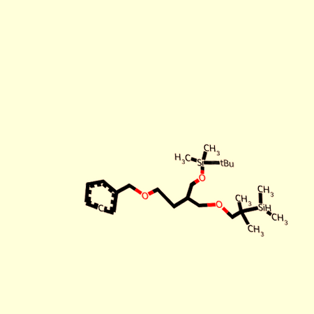 C[SiH](C)C(C)(C)COCC(CCOCc1ccccc1)CO[Si](C)(C)C(C)(C)C